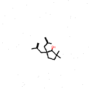 C=C(C)CC1(CC(=C)C)CCC(C)(C)C1O